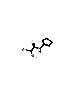 [CH2]CCC(N)C(=O)NC1CCCC1